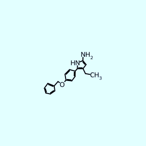 CCc1cc(N)[nH]c1-c1ccc(OCc2ccccc2)cc1